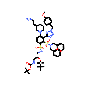 COc1ccc(Cn2nnc(-c3c(N4CCCC(=CCN)C4)ccc(S(=O)(=O)NC[C@@H](CNC(=O)OC(C)(C)C)O[Si](C)(C)C(C)(C)C)c3S(=O)(=O)N(Cc3ccccc3)Cc3ccccc3)n2)cc1